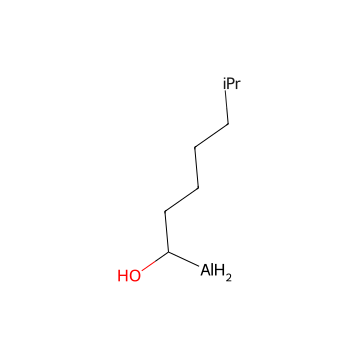 CC(C)CCCC[CH](O)[AlH2]